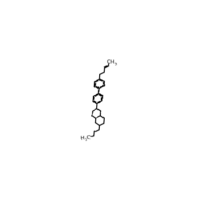 C/C=C/CCc1ccc(-c2ccc(C3CCC4CC(CCCC)CCC4C3)cc2)cc1